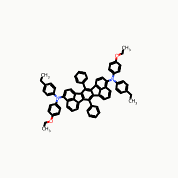 CCOc1ccc(N(c2ccc(CC)cc2)c2ccc3c4c(-c5ccccc5)c5c6ccc(N(c7ccc(CC)cc7)c7ccc(OCC)cc7)c7cccc(c5c(-c5ccccc5)c4c4cccc2c43)c76)cc1